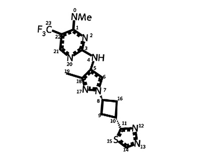 CNc1nc(Nc2cn([C@H]3C[C@@H](c4nncs4)C3)nc2C)ncc1C(F)(F)F